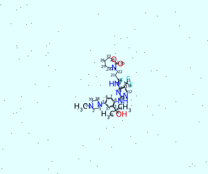 CN1CCN(c2ccc(Nc3ncc(C(F)(F)F)c(NCCCN4CCCCOC4=O)n3)c(C(C)(C)O)c2)CC1